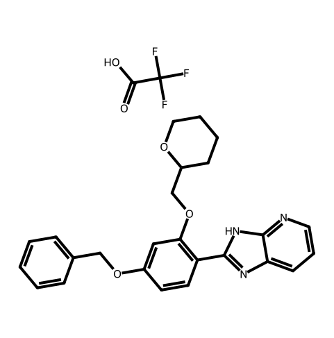 O=C(O)C(F)(F)F.c1ccc(COc2ccc(-c3nc4cccnc4[nH]3)c(OCC3CCCCO3)c2)cc1